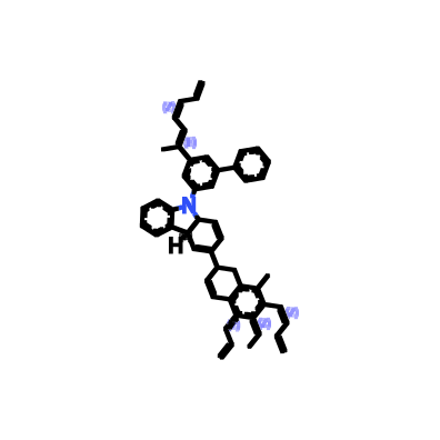 C=C/C=C\C=C(/C)c1cc(-c2ccccc2)cc(N2c3ccccc3[C@H]3C=C(C4C=Cc5c(c(C)c(/C=C\C=C)c(=C/C)/c5=C\C=C)C4)C=CC32)c1